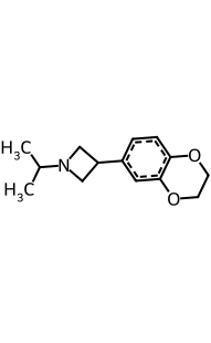 CC(C)N1CC(c2ccc3c(c2)OCCO3)C1